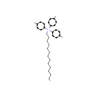 CCCCCCCCCCCCCC[N+](c1ccc(C)cc1)(c1ccc(C)cc1)c1ccc(C)cc1